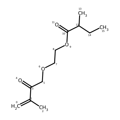 C=C(C)C(=O)COCCOC(=O)C(C)CC